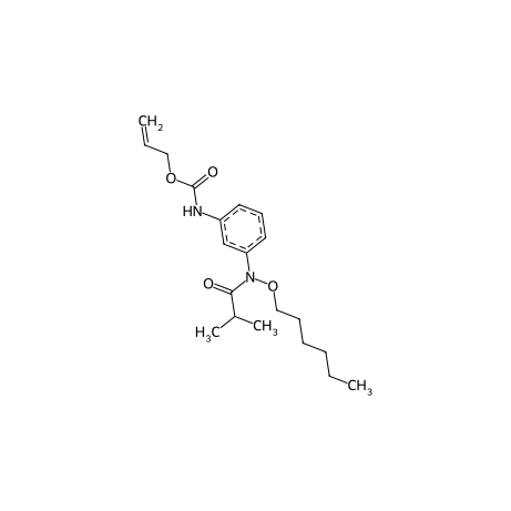 C=CCOC(=O)Nc1cccc(N(OCCCCCC)C(=O)C(C)C)c1